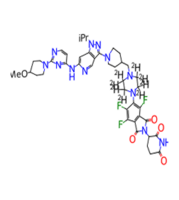 [2H]C1([2H])N(CC2CCN(c3nn(C(C)C)c4cc(Nc5ccnc(N6CCC(OC)CC6)n5)ncc34)CC2)C([2H])([2H])C([2H])([2H])N(c2c(F)c(F)c3c(c2F)C(=O)N(C2CCC(=O)NC2=O)C3=O)C1([2H])[2H]